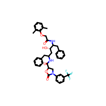 Cc1cccc(C)c1OCC(=O)NC(Cc1ccccc1)[C@@H](O)CC(Cc1ccccc1)NC(=O)C1CN(c2cccc(C(F)(F)F)c2)C(=O)O1